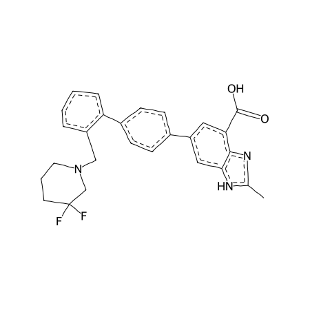 Cc1nc2c(C(=O)O)cc(-c3ccc(-c4ccccc4CN4CCCC(F)(F)C4)cc3)cc2[nH]1